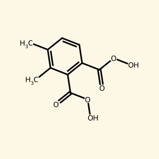 Cc1ccc(C(=O)OO)c(C(=O)OO)c1C